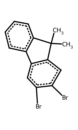 CC1(C)c2ccccc2-c2cc(Br)c(Br)cc21